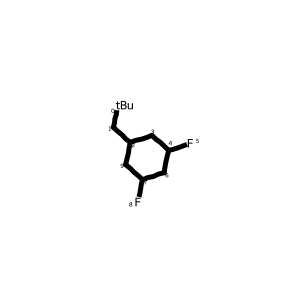 CC(C)(C)CC1CC(F)CC(F)C1